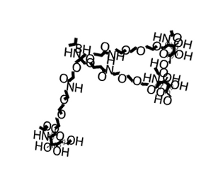 CC(=O)N[C@H]1[C@H](OCCOCCOCCNC(=O)CCOCC(COCCC(=O)NCCOCCOCCOC2O[C@H](CO)[C@H](O)[C@H](O)[C@H]2NC(C)=O)(COCCC(=O)NCCOCCOCCO[C@@H]2O[C@H](CO)[C@H](O)[C@H](O)[C@H]2NC(C)=O)NBC(C)C)O[C@H](CO)[C@H](O)[C@@H]1O